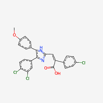 COc1ccc(-c2[nH]c(C=C(C(=O)O)c3ccc(Cl)cc3)nc2-c2ccc(Cl)c(Cl)c2)cc1